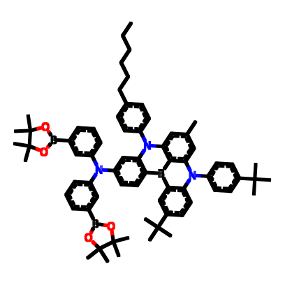 CCCCCCc1ccc(N2c3cc(N(c4cccc(B5OC(C)(C)C(C)(C)O5)c4)c4cccc(B5OC(C)(C)C(C)(C)O5)c4)ccc3B3c4cc(C(C)(C)C)ccc4N(c4ccc(C(C)(C)C)cc4)c4cc(C)cc2c43)cc1